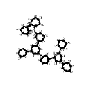 c1ccc(-c2cc(-c3cccc(-c4cc(-c5ccccc5)cc(-c5ccccc5)n4)c3)cc(-c3cccc(-n4c5ccccc5c5ccccc54)c3)c2)cc1